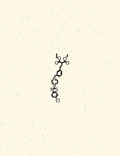 CCOC(=O)C(CCc1cccc(CN2CCN(c3nc4ccc(Cl)cc4s3)CC2)c1)C(=O)OCC